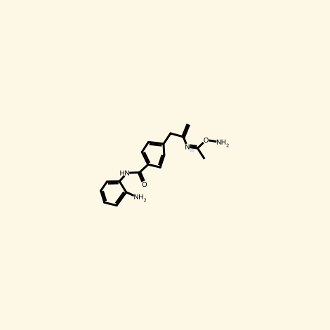 C=C(Cc1ccc(C(=O)Nc2ccccc2N)cc1)/N=C(/C)ON